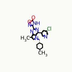 Cc1cn(C[C@H]2CC[C@H](C)CC2)c2c(-c3cncc(Cl)c3)nc(-c3noc(=O)[nH]3)nc12